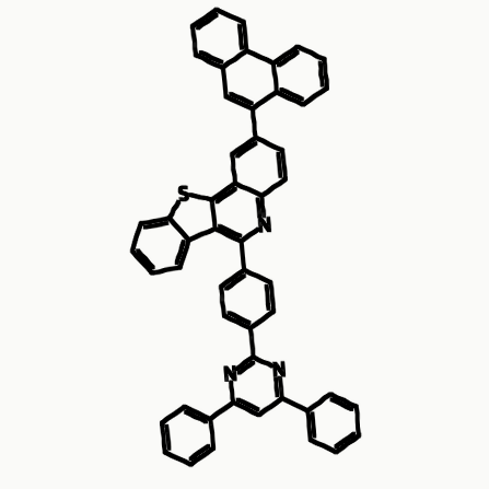 c1ccc(-c2cc(-c3ccccc3)nc(-c3ccc(-c4nc5ccc(-c6cc7ccccc7c7ccccc67)cc5c5sc6ccccc6c45)cc3)n2)cc1